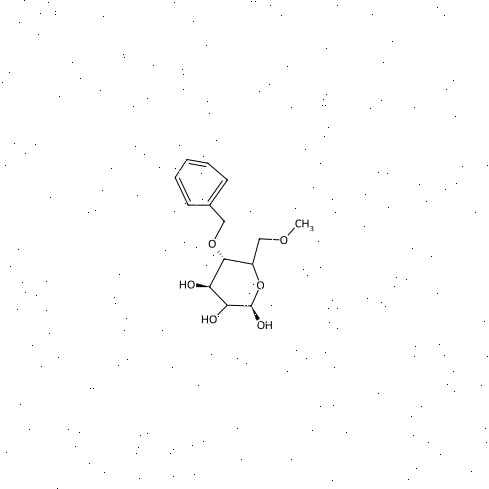 COCC1O[C@@H](O)C(O)[C@@H](O)[C@@H]1OCc1ccccc1